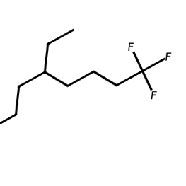 CCCCC(CC)CCCC(F)(F)F